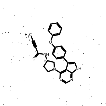 CC#CC(=O)N[C@@H]1CCN(c2ncnc3[nH]cc(-c4ccc(Oc5ccccc5)cc4)c23)C1